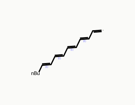 [CH]=C/C=C/C=C/C=C/C=C/CCCC